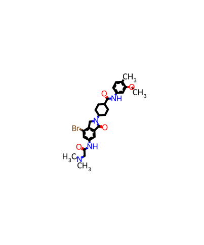 COc1cc(NC(=O)C2CCC(N3Cc4c(Br)cc(NC(=O)CN(C)C)cc4C3=O)CC2)ccc1C